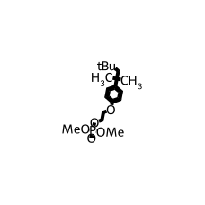 COP(=O)(OC)OCCOc1ccc(C(C)(C)CC(C)(C)C)cc1